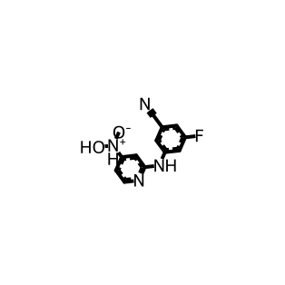 N#Cc1cc(F)cc(Nc2cc([NH+]([O-])O)ccn2)c1